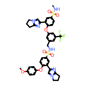 CNS(=O)(=O)c1ccc(Oc2cc(CNS(=O)(=O)c3ccc(Oc4ccc(OC)cc4)c(-c4cn5c(n4)CCC5)c3)cc(C(F)(F)F)c2)c(-c2cn3c(n2)CCC3)c1